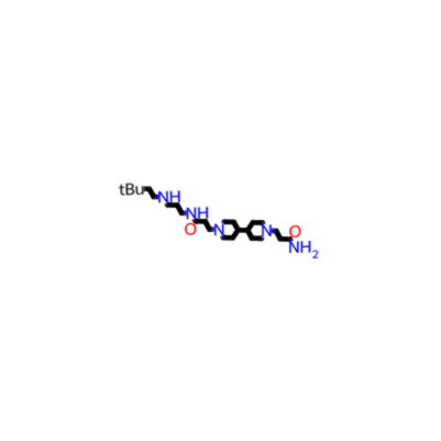 CC(C)(C)CCNCCCNC(=O)CCN1CCC(C2CCN(CCC(N)=O)CC2)CC1